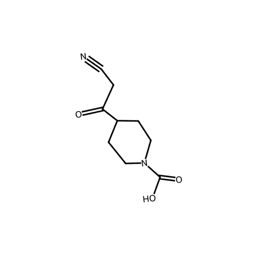 N#CCC(=O)C1CCN(C(=O)O)CC1